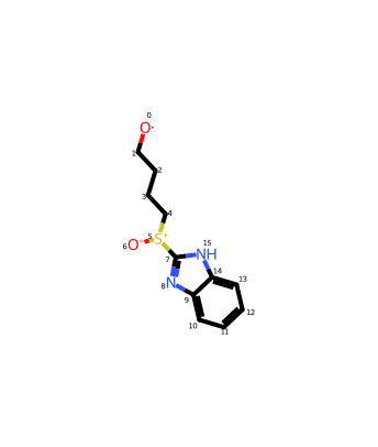 [O]CCCC[S+]([O-])c1nc2ccccc2[nH]1